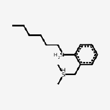 CCCCCC[SiH2]c1ccccc1C[SiH](C)C